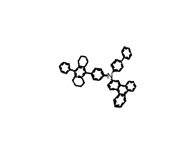 c1ccc(-c2ccc(N(c3ccc(-c4c5c(c(-c6ccccc6)c6c4CCCC6)CCCC5)cc3)c3ccc4c5ccccc5c5ccccc5c4c3)cc2)cc1